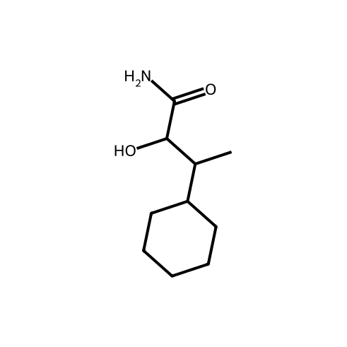 CC(C1CCCCC1)C(O)C(N)=O